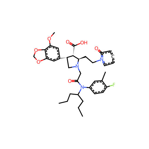 CCCC(CCC)N(C(=O)CN1C[C@H](c2cc(OC)c3c(c2)OCO3)[C@H](C(=O)O)[C@H]1CCn1ccccc1=O)c1ccc(F)c(C)c1